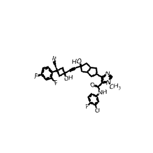 Cn1cnc(C2CC3CC(O)(C#CC4(O)CC(C#N)(c5ccc(F)cc5F)C4)CC3C2)c1C(=O)Nc1ccc(F)c(Cl)c1